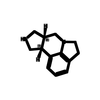 c1cc2c3c(c1)[C@@H]1CNC[C@@H]1CN3CC2